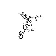 NC(=O)CO/N=C(\C(=O)N[C@@H]1C(=O)N2C(C(=O)[O-])=C(Cn3cc[n+]4ccccc34)CS[C@@H]12)c1csc(N)n1